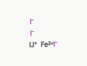 [Fe+2].[I-].[I-].[I-].[Li+]